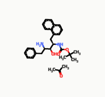 CC(C)(C)OC(=O)N[C@H](Cc1cccc2ccccc12)[C@@H](O)[C@H](N)Cc1ccccc1.CC(C)=O